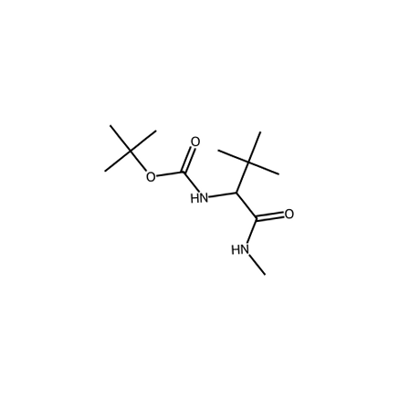 CNC(=O)C(NC(=O)OC(C)(C)C)C(C)(C)C